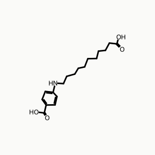 O=C(O)CCCCCCCCCCNc1ccc(C(=O)O)cc1